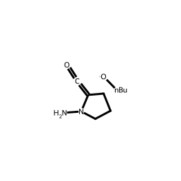 CCCC[O].NN1CCCC1=C=O